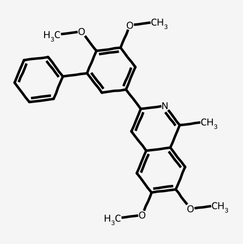 COc1cc2cc(-c3cc(OC)c(OC)c(-c4ccccc4)c3)nc(C)c2cc1OC